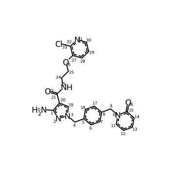 Nc1nn(Cc2ccc(Cn3ccccc3=O)cc2)cc1C(=O)NCCOc1cccnc1Cl